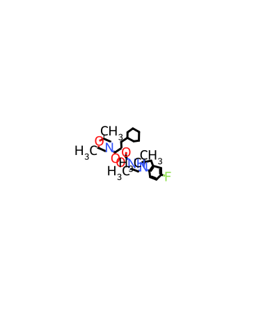 C[C@@H]1CN(C(=O)C(CC2CCCCC2)OC(=O)N[C@@H](C)CN2c3ccc(F)cc3CC2(C)C)C[C@H](C)O1